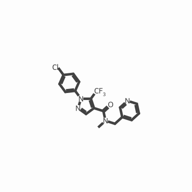 CN(Cc1cccnc1)C(=O)c1cnn(-c2ccc(Cl)cc2)c1C(F)(F)F